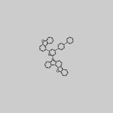 c1ccc(-c2ccc(-c3cc(-c4cccc5oc6ccccc6c45)nc(-n4c5ccccc5c5c6oc7ccccc7c6ccc54)c3)cc2)cc1